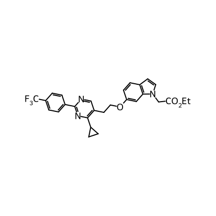 CCOC(=O)Cn1ccc2ccc(OCCc3cnc(-c4ccc(C(F)(F)F)cc4)nc3C3CC3)cc21